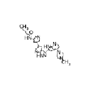 CCCCC(=O)Nc1cncc(-c2cnc3[nH]nc(-c4cc5c(N6CCN(C)CC6)ccnc5[nH]4)c3c2)c1